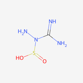 N=C(N)N(N)S(=O)O